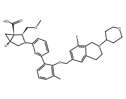 COC[C@H]1N(c2cccc(-c3cccc(C)c3OCc3cc(F)c4c(c3)CCN(C3CCOCC3)C4)n2)C[C@@H]2C[C@@]21C(=O)O